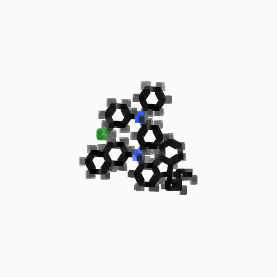 CC1(C)c2ccccc2-c2c(N(c3cccc(N(c4ccccc4)c4cccc(Cl)c4)c3)c3ccc4ccccc4c3)cccc21